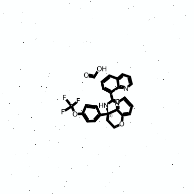 O=C(N[C@]1(c2ccc(OC(F)(F)F)cc2)CCOc2cccnc21)c1cccc2cccnc12.O=CO